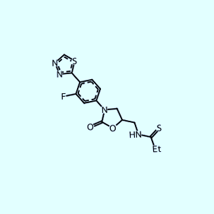 CCC(=S)NCC1CN(c2ccc(-c3nncs3)c(F)c2)C(=O)O1